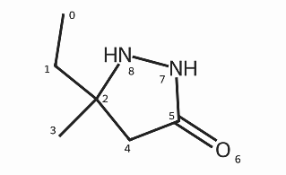 CCC1(C)CC(=O)NN1